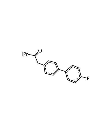 CC(C)C(=O)Cc1ccc(-c2ccc(F)cc2)cc1